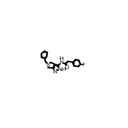 O=C(Cc1ccc(F)cc1)Nc1[nH]nc2c1CN(Cc1ccccc1)C2